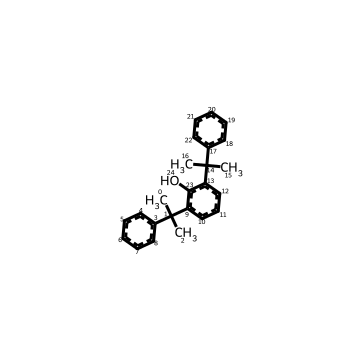 CC(C)(c1ccccc1)c1cccc(C(C)(C)c2ccccc2)c1O